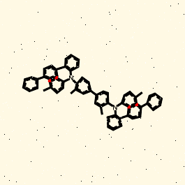 Cc1ccc(N(c2ccc(-c3ccc(N(c4ccc(C)cc4)c4ccccc4-c4ccc(-c5ccccc5)cc4)c(C)c3)cc2C)c2ccccc2-c2ccc(-c3ccccc3)cc2)cc1